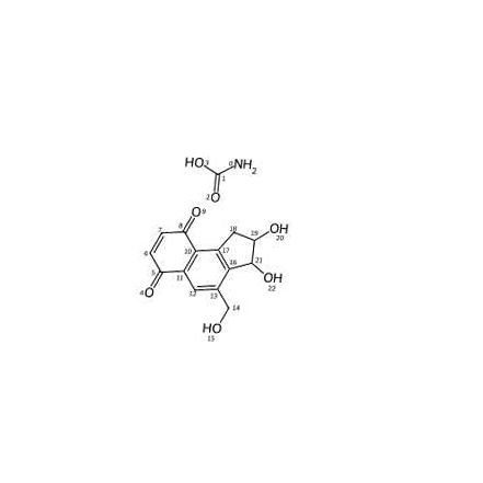 NC(=O)O.O=C1C=CC(=O)c2c1cc(CO)c1c2CC(O)C1O